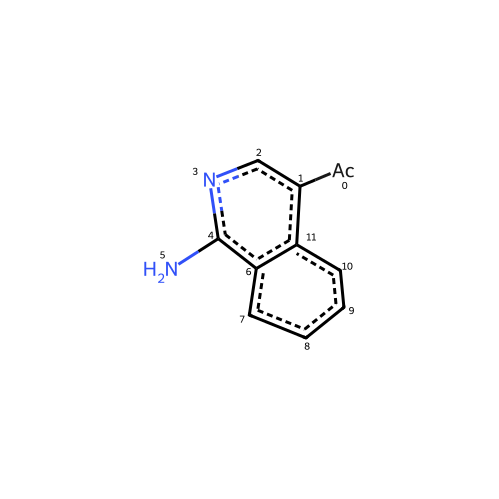 CC(=O)c1cnc(N)c2ccccc12